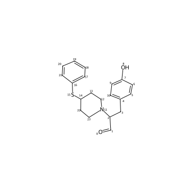 O=CC(Cc1ccc(O)cc1)N1CCC(Sc2ccccc2)CC1